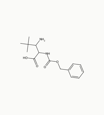 CC(C)(C)C(N)C(NC(=O)OCc1ccccc1)C(=O)O